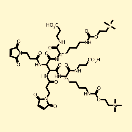 C[Si](C)(C)CCOC(=O)NCCCC[C@H](NC(=O)C(NC(=O)CCN1C(=O)C=CC1=O)C(NC(=O)CCN1C(=O)C=CC1=O)C(=O)N[C@@H](CCCCNC(=O)OCC[Si](C)(C)C)C(=O)NCCC(=O)O)C(=O)NCCC(=O)O